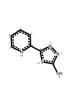 CCCc1nnc(-c2ccccn2)s1